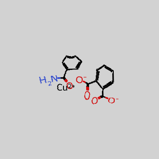 NC(=O)c1ccccc1.O=C([O-])c1ccccc1C(=O)[O-].[Cu+2]